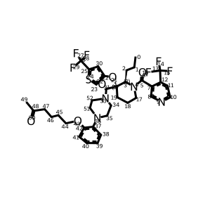 CCC[C@H]1N(C(=O)c2cnccc2C(F)(F)F)CCC[C@@]1(Oc1csc(C(F)(F)F)c1)C(=O)N1CCN(c2ccccc2OCCCCC(C)=O)CC1